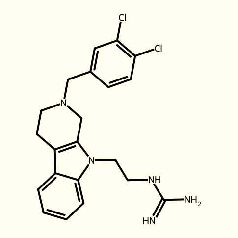 N=C(N)NCCn1c2c(c3ccccc31)CCN(Cc1ccc(Cl)c(Cl)c1)C2